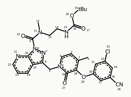 Cc1ccn(Cc2nn(C(=O)N(C)CCNC(=O)OC(C)(C)C)c3ncccc23)c(=O)c1Oc1cc(Cl)cc(C#N)c1